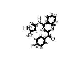 CCc1cc(Nc2nc(C(=O)c3ccc(F)cc3)nc3ccccc23)n[nH]1